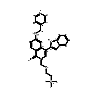 C[Si](C)(C)CCOCn1cc(-c2cc3ccccc3o2)c2cc(NCc3ccncc3)ccc2c1=O